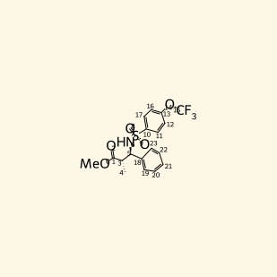 COC(=O)[C@@H](C)[C@@H](NS(=O)(=O)c1ccc(OC(F)(F)F)cc1)c1ccccc1